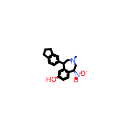 CN1CC(c2ccc3c(c2)CCC3)c2cc(O)ccc2C([N+](=O)[O-])C1